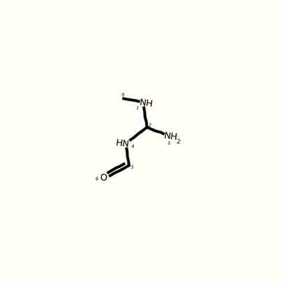 CNC(N)NC=O